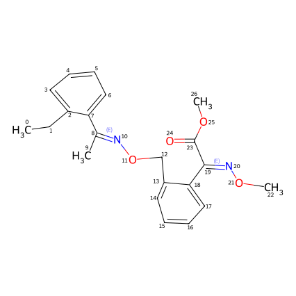 CCc1ccccc1/C(C)=N/OCc1ccccc1/C(=N\OC)C(=O)OC